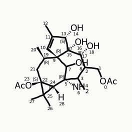 CC(=O)OCC1C(C)[C@]2(N)C(O)[C@]3(C=C(C)[C@H](O)[C@@]3(O)[C@@H]1O)[C@H](C)C[C@]1(OC(C)=O)[C@H]2C1(C)C